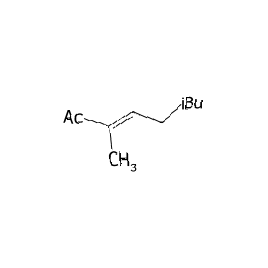 CCC(C)CC=C(C)C(C)=O